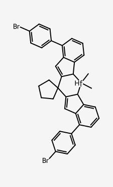 [CH3][Hf]1([CH3])[CH]2C(=Cc3c(-c4ccc(Br)cc4)cccc32)C2(CCCC2)C2=Cc3c(-c4ccc(Br)cc4)cccc3[CH]21